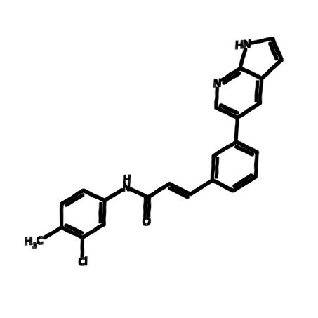 Cc1ccc(NC(=O)C=Cc2cccc(-c3cnc4[nH]ccc4c3)c2)cc1Cl